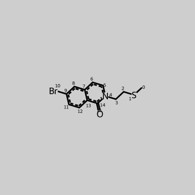 CSCCn1ccc2cc(Br)ccc2c1=O